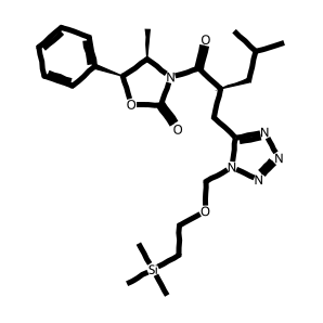 CC(C)C[C@@H](Cc1nnnn1COCC[Si](C)(C)C)C(=O)N1C(=O)O[C@@H](c2ccccc2)[C@H]1C